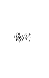 O.O.O.O.O.[Hf]